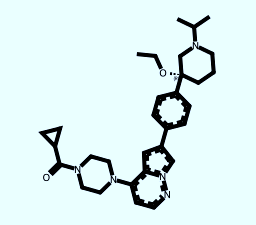 CCO[C@@]1(c2ccc(-c3cc4c(N5CCN(C(=O)C6CC6)CC5)ccnn4c3)cc2)CCCN(C(C)C)C1